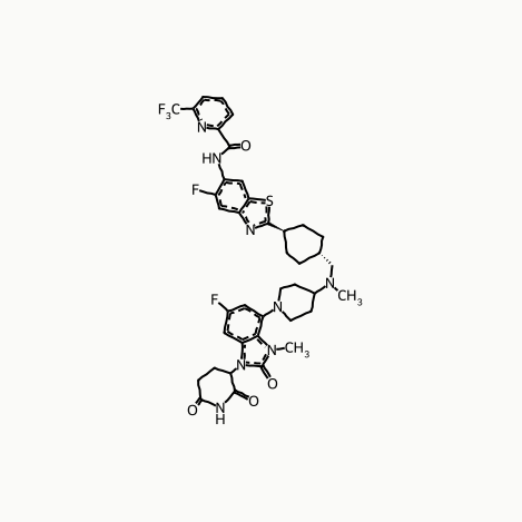 CN(C[C@H]1CC[C@H](c2nc3cc(F)c(NC(=O)c4cccc(C(F)(F)F)n4)cc3s2)CC1)C1CCN(c2cc(F)cc3c2n(C)c(=O)n3C2CCC(=O)NC2=O)CC1